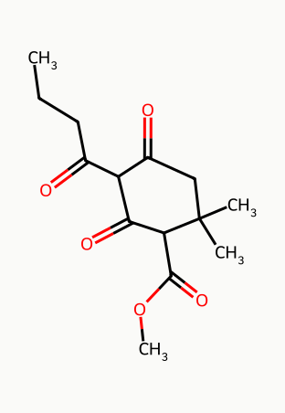 CCCC(=O)C1C(=O)CC(C)(C)C(C(=O)OC)C1=O